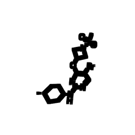 CS(=O)(=O)N1CC(Oc2nc(N[C@H]3CC[C@@H](C)CC3)ncc2Br)C1